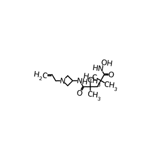 C=CCN1CC(NC(=O)C(C)(C)CC(C)(C)C(=O)NO)C1